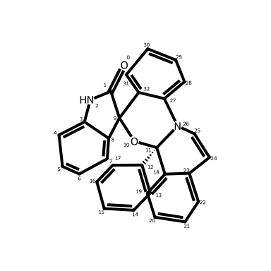 O=C1Nc2ccccc2C12O[C@]1(c3ccccc3)c3ccccc3C=CN1c1ccccc12